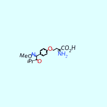 CO/N=C(\C(=O)C(C)C)c1ccc(OCC[C@@H](N)C(=O)O)cc1